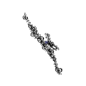 C=CC(=O)OCCCCCCOc1ccc(OC(=O)[C@H]2CC[C@@H](C(=O)Oc3ccc(OC(=O)[C@H]4CC[C@@H](C(=O)Oc5ccc(OCCCCCCOC(=O)C=C)cc5)CC4)c(/C=N/N(CCCCCC)c4nc5ccccc5s4)c3)CC2)cc1